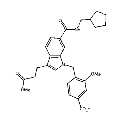 COC(=O)CCc1cn(Cc2ccc(C(=O)O)cc2OC)c2cc(C(=O)NCC3CCCC3)ccc12